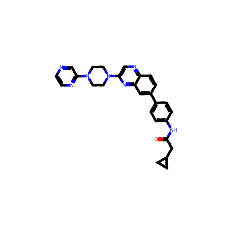 O=C(CC1CC1)Nc1ccc(-c2ccc3ncc(N4CCN(c5cnccn5)CC4)nc3c2)cc1